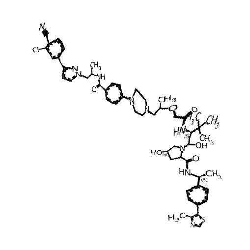 Cc1ncsc1-c1ccc([C@H](C)NC(=O)C2C[C@@H](O)CN2C(O)[C@@H](NC(=O)COC(C)CN2CCN(c3ccc(C(=O)NC(C)Cn4ccc(-c5ccc(C#N)c(Cl)c5)n4)cc3)CC2)C(C)(C)C)cc1